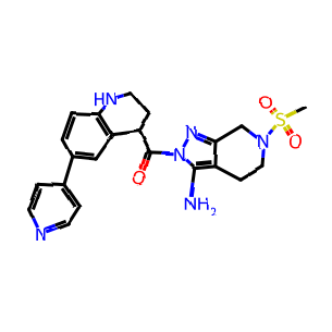 CS(=O)(=O)N1CCc2c(nn(C(=O)C3CCNc4ccc(-c5ccncc5)cc43)c2N)C1